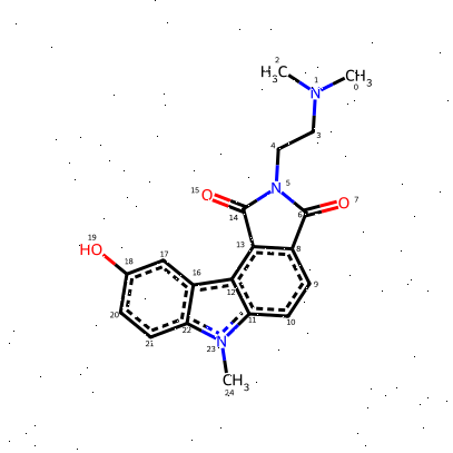 CN(C)CCN1C(=O)c2ccc3c(c2C1=O)c1cc(O)ccc1n3C